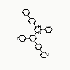 c1ccc(-c2ccc(-c3cc(-c4cc(-c5ccncc5)cc(-c5ccc(-c6cccnc6)cc5)c4)nc(-c4ccccc4)n3)cc2)cc1